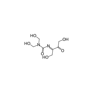 O=C(CO)C(CO)=NC(=O)N(CO)CO